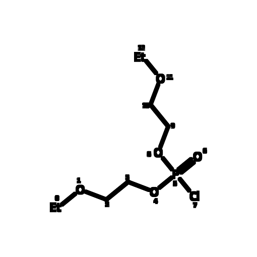 CCOCCOP(=O)(Cl)OCCOCC